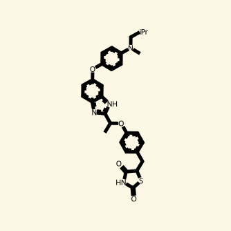 CC(C)CN(C)c1ccc(Oc2ccc3nc(C(C)Oc4ccc(CC5SC(=O)NC5=O)cc4)[nH]c3c2)cc1